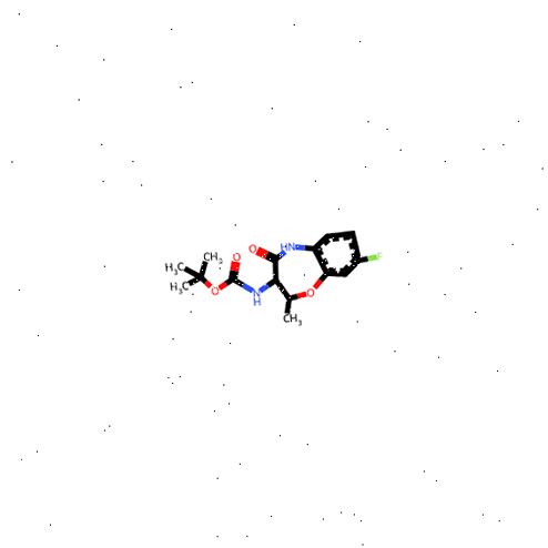 CC1Oc2cc(F)ccc2NC(=O)C1NC(=O)OC(C)(C)C